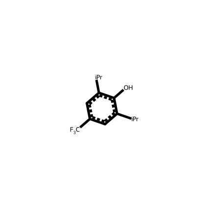 CC(C)c1cc(C(F)(F)F)cc(C(C)C)c1O